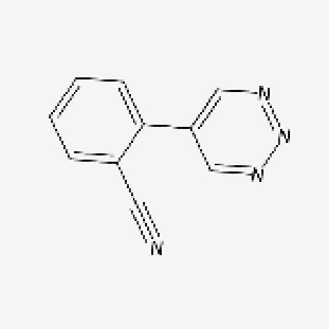 N#Cc1ccccc1-c1cnnnc1